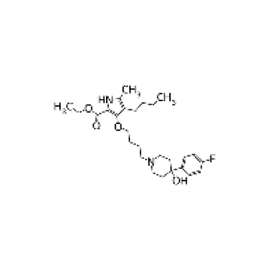 CCCCc1c(C)[nH]c(C(=O)OCC)c1OCCCCN1CCC(O)(c2ccc(F)cc2)CC1